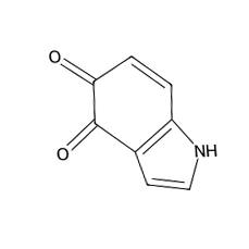 O=C1C=Cc2[nH]ccc2C1=O